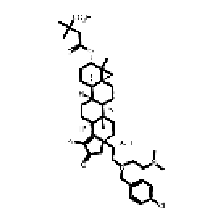 CC(C)C1=C2[C@H]3CC[C@@H]4[C@@]5(C)CC[C@H](OC(=O)CC(C)(C)C(=O)O)C6(C)C[C@]65CC[C@@]4(C)[C@]3(C)CC[C@@]2([C@H](O)CN(CCN(C)C)Cc2ccc(Cl)cc2)CC1=O